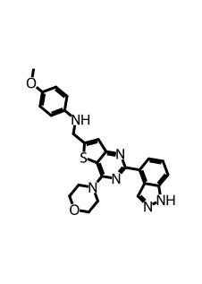 COc1ccc(NCc2cc3nc(-c4cccc5[nH]ncc45)nc(N4CCOCC4)c3s2)cc1